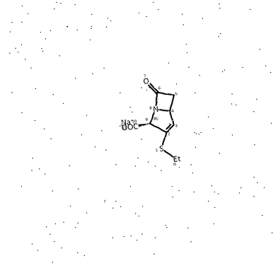 CCSC1=CC2CC(=O)N2[C@@H]1C(=O)[O-].[Na+]